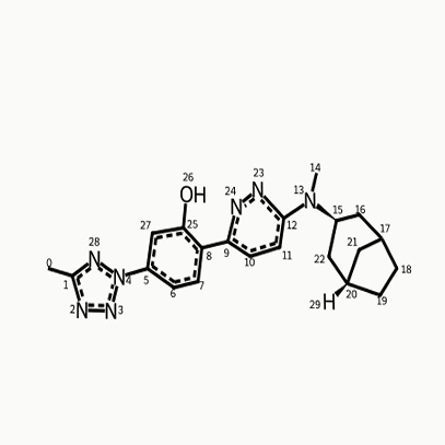 Cc1nnn(-c2ccc(-c3ccc(N(C)[C@H]4CC5CC[C@@H](C5)C4)nn3)c(O)c2)n1